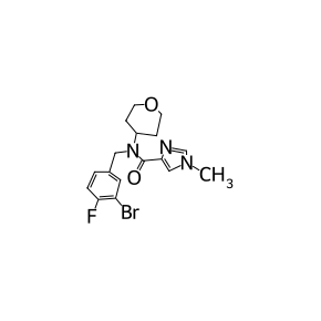 Cn1cnc(C(=O)N(Cc2ccc(F)c(Br)c2)C2CCOCC2)c1